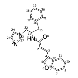 O=C(/C=C/c1coc2ccccc12)NC(Cc1ccccc1)Cn1ccnc1